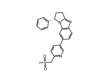 CS(=O)(=O)Cc1ccc(-c2ccc3nc4n(c3c2)[C@H](c2ccccc2)CC4)cn1